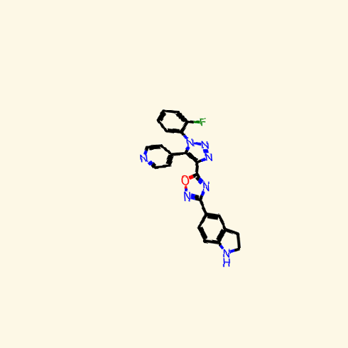 Fc1ccccc1-n1nnc(-c2nc(-c3ccc4c(c3)CCN4)no2)c1-c1ccncc1